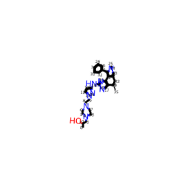 CC(O)CN1CCN(CCn2ccc(Nc3ncc4c(n3)-c3c(cn(C)c3-c3ccccc3)C[C@H]4C)n2)CC1